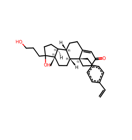 C=Cc1ccc(C[C@]23CCC(=O)C=C2CC[C@@H]2[C@H]3CC[C@@]3(C)[C@H]2CCC3(O)CCCO)cc1